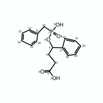 O=C(O)CCC(OP(=O)(O)Cc1ccccc1)c1ccccc1